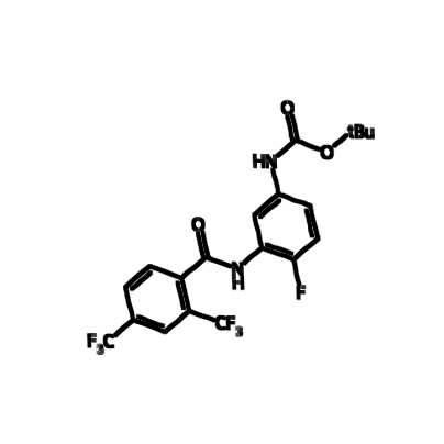 CC(C)(C)OC(=O)Nc1ccc(F)c(NC(=O)c2ccc(C(F)(F)F)cc2C(F)(F)F)c1